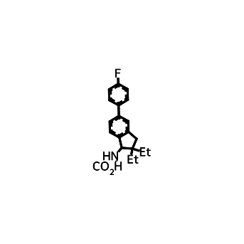 CCC1(CC)Cc2cc(-c3ccc(F)cc3)ccc2C1NC(=O)O